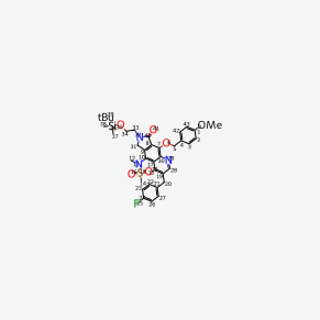 COc1ccc(COc2c3c(c(N(C)S(C)(=O)=O)c4cc(Cc5ccc(F)cc5)cnc24)CN(CCO[Si](C)(C)C(C)(C)C)C3=O)cc1